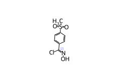 CS(=O)(=O)c1ccc(/C(Cl)=N/O)cc1